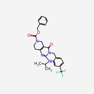 CC(C)Nc1nc2c(c(=O)n1Cc1ccc(C(F)(F)F)cc1)CN(C(=O)OCc1ccccc1)CC2